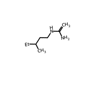 C=C(N)NCCC(C)CC